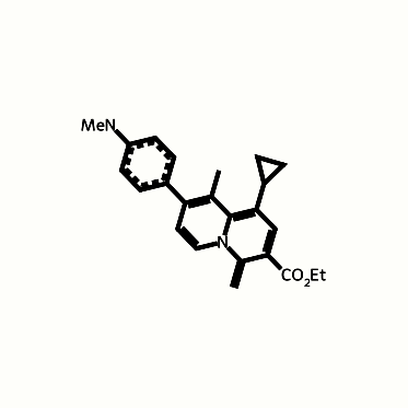 C=C1C(C(=O)OCC)=CC(C2CC2)=C2C(C)=C(c3ccc(NC)cc3)C=CN12